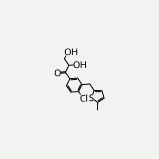 Cc1ccc(Cc2cc(C(=O)C(O)CO)ccc2Cl)s1